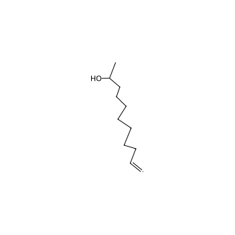 [CH]=CCCCCCCCC(C)O